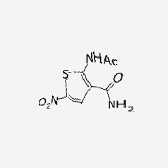 CC(=O)Nc1sc([N+](=O)[O-])cc1C(N)=O